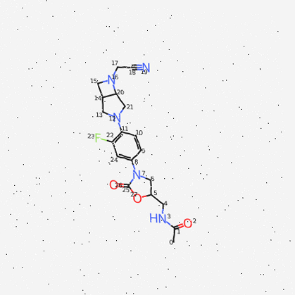 CC(=O)NCC1CN(c2ccc(N3CC4CN(CC#N)C4C3)c(F)c2)C(=O)O1